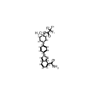 C[N+]1(OC(=O)C(F)(F)F)CCN(c2ccc(-n3cc4cccc(C(N)=O)c4n3)cc2)CC1